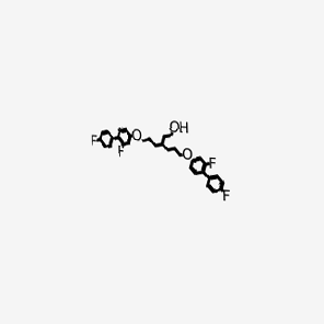 OCCC(CCCOc1ccc(-c2ccc(F)cc2)c(F)c1)CCCOc1ccc(-c2ccc(F)cc2)c(F)c1